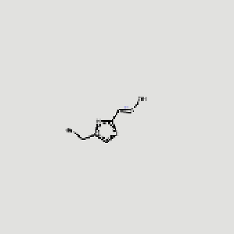 CC(C)(C)Cc1csc(/C=N/O)n1